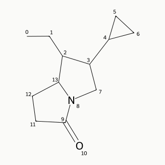 CCC1C(C2CC2)CN2C(=O)CCC12